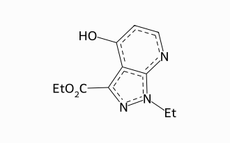 CCOC(=O)c1nn(CC)c2nccc(O)c12